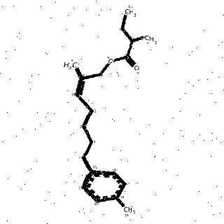 CCC(C)C(=O)OC/C(C)=C\CCCCc1ccc(C)cc1